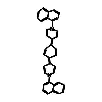 C1=CN(c2cccc3ccccc23)C=CC1=c1ccc(=C2C=CN(c3cccc4ccccc34)C=C2)cc1